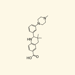 CN1CCN(c2cccc(C3Nc4ccc(C(=O)O)cc4CC3(C)C)c2)CC1